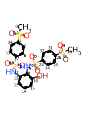 CS(=O)(=O)c1ccc(S(=O)(=O)Nc2cccc(O)c2NS(=O)(=O)c2ccc(S(C)(=O)=O)cc2)cc1